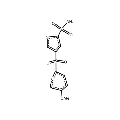 COc1ccc(S(=O)(=O)c2csc(S(N)(=O)=O)c2)cc1